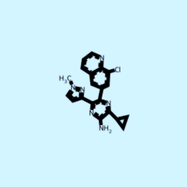 Cn1ccc(-c2nc(N)c(C3CC3)nc2-c2cc(Cl)c3ncccc3c2)n1